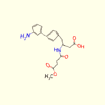 COC(=O)CCC(=O)NC(CC(=O)O)Cc1ccc(-c2cccc(N)c2)cc1